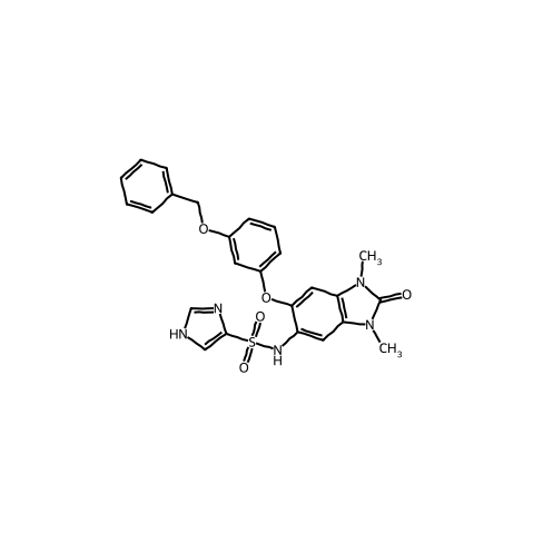 Cn1c(=O)n(C)c2cc(Oc3cccc(OCc4ccccc4)c3)c(NS(=O)(=O)c3c[nH]cn3)cc21